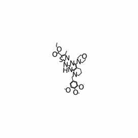 CCOC(=O)c1sc(Nc2nc(N3CCOCC3)c3c(n2)N(Cc2cc(OC)c(OC)c(OC)c2)CCC3)nc1C